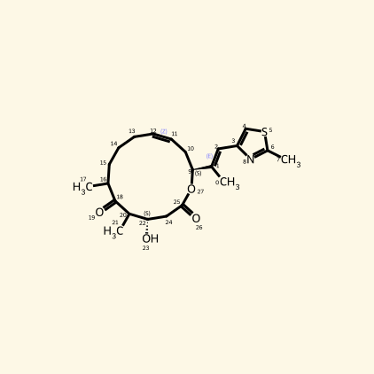 C/C(=C\c1csc(C)n1)[C@@H]1C/C=C\CCCC(C)C(=O)C(C)[C@@H](O)CC(=O)O1